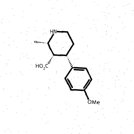 COc1ccc([C@H]2CCN[C@@H](C)[C@H]2C(=O)O)cc1